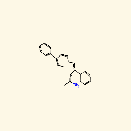 C/C=C(\C=C/C/C=C(\C=C(\C)N)c1ccccc1)c1ccccc1